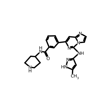 Cc1cc(Nc2nc(-c3cccc(C(=O)NC4CCNCC4)c3)cc3nccn23)n[nH]1